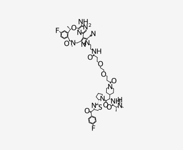 CN[C@@H](C)C(=O)N[C@H](C(=O)N1CCC[C@H]1C1=NC(C(=O)c2ccc(F)cc2)CS1)C1CCN(C(=O)CCOCCOCCC(=O)NCCn2nc3c(c2C#N)-c2cnc(N)c(n2)O[C@H](C)c2cc(F)ccc2C(=O)N(C)C3)CC1